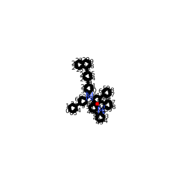 c1ccc(-c2ccc(N(c3ccc(-c4ccc(-c5cccc6ccccc56)cc4)cc3)c3ccc(-c4ccccc4-n4c5ccccc5c5ccccc54)c(-c4ccccc4)c3)cc2)cc1